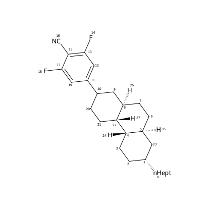 CCCCCCC[C@@H]1CC[C@H]2[C@@H](CC[C@@H]3CC(c4cc(F)c(C#N)c(F)c4)CC[C@H]32)C1